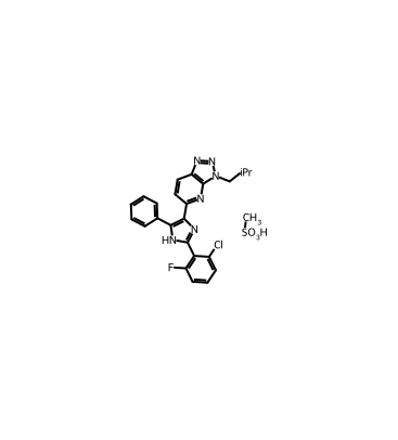 CC(C)Cn1nnc2ccc(-c3nc(-c4c(F)cccc4Cl)[nH]c3-c3ccccc3)nc21.CS(=O)(=O)O